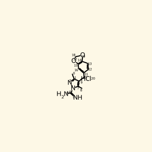 Cc1nn(C(=N)N)c(C)c1Cc1ccc2c(c1)OCO2.Cl